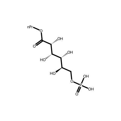 CCCOC(=O)[C@H](O)[C@@H](O)[C@H](O)[C@H](O)COP(=O)(O)O